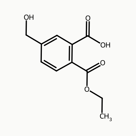 CCOC(=O)c1ccc(CO)cc1C(=O)O